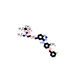 CCN(CCO/N=C/c1ccc2ncnc(Nc3ccc(OCc4cccc(F)c4)c(C)c3)c2c1)C(=O)OC(C)(C)C